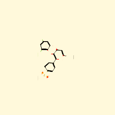 CCS(=O)(=O)c1ccc(-c2oc(C)cc(=O)c2Oc2ccc(F)cc2F)cc1